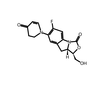 O=C1C=CN(c2cc3c(cc2F)N2C(=O)O[C@@H](CO)[C@@H]2C3)CC1